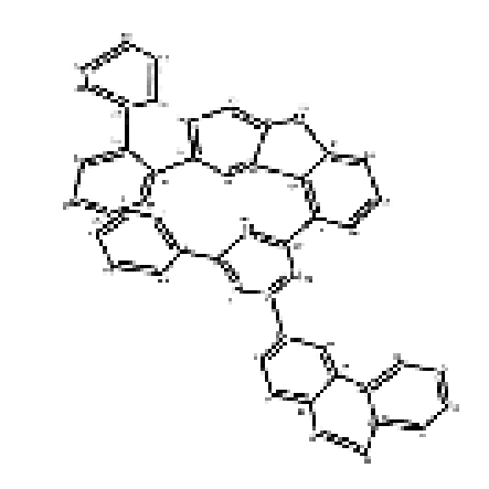 c1ccc(-c2nc(-c3ccc4ccc5ccccc5c4c3)nc(-c3cccc4oc5ccc(-c6ccccc6-c6ccccc6)cc5c34)n2)cc1